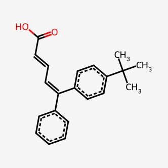 CC(C)(C)c1ccc(/C(=C\C=C\C(=O)O)c2ccccc2)cc1